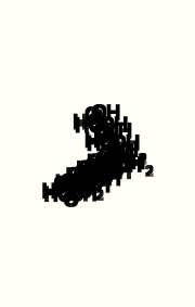 NC(P(=O)(O)O)P(=O)(O)O.NCCN.O=P(O)(O)CP(=O)(O)O.O=P(O)(O)CP(=O)(O)O.O=P(O)(O)CP(=O)(O)O.O=P(O)(O)CP(=O)(O)O.O=P(O)(O)CP(=O)(O)O.O=P(O)(O)CP(=O)(O)O